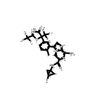 Cc1ccc(C(OC(=O)C(F)(F)F)(C(N)=O)C(F)(F)F)cc1-c1cnc2c(N)nc(C(=O)NC34CC(F)(C3)C4)cn12